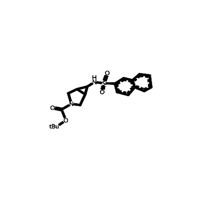 CC(C)(C)OC(=O)N1CC2C(C1)C2NS(=O)(=O)c1ccc2ccccc2c1